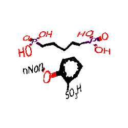 CCCCCCCCCOc1ccccc1S(=O)(=O)O.O=P(O)(O)CCCCCP(=O)(O)O